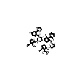 COC(=O)c1c(C#N)ccnc1O[C@@H]1CC[C@@H](C)N(C(=O)c2cccc(F)c2-c2ncccn2)C1.COc1c(C#N)ccnc1O[C@@H]1CC[C@@H](C)N(C(=O)c2ccc(F)cc2-c2ncccn2)C1